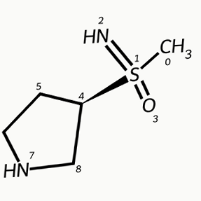 CS(=N)(=O)[C@@H]1CCNC1